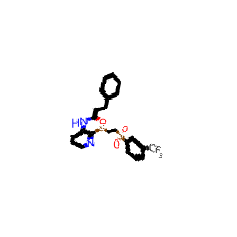 O=C(CCC1CCCCC1)Nc1cccnc1SCCS(=O)(=O)c1cccc(C(F)(F)F)c1